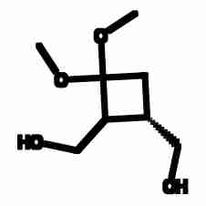 COC1(OC)C[C@H](CO)C1CO